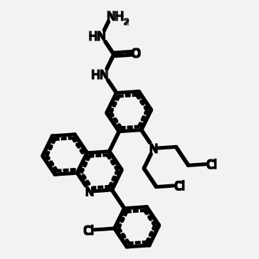 NNC(=O)Nc1ccc(N(CCCl)CCCl)c(-c2cc(-c3ccccc3Cl)nc3ccccc23)c1